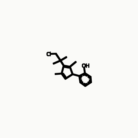 CC1=CC(c2ccccc2O)C(C)=C1C(C)(C)CCl